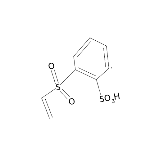 C=CS(=O)(=O)c1ccc[c]c1S(=O)(=O)O